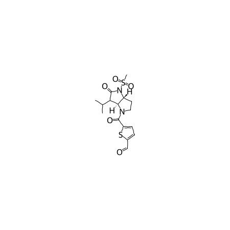 CC(C)C1C(=O)N(S(C)(=O)=O)[C@@H]2CCN(C(=O)c3ccc(C=O)s3)[C@@H]12